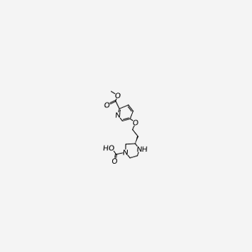 COC(=O)c1ccc(OCC[C@@H]2CN(C(=O)O)CCN2)cn1